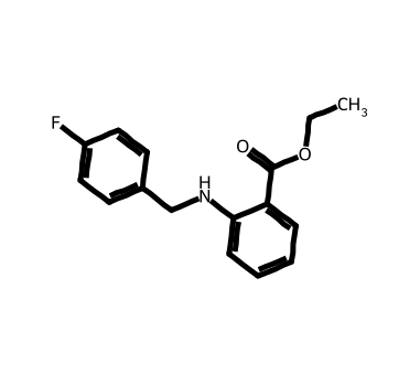 CCOC(=O)c1ccccc1NCc1ccc(F)cc1